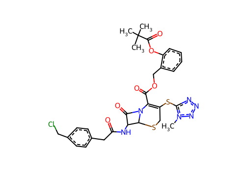 Cn1nnnc1SC1=C(C(=O)OCc2ccccc2OC(=O)C(C)(C)C)N2C(=O)C(NC(=O)Cc3ccc(CCl)cc3)C2SC1